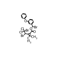 CC1(C)C(C(=O)OC(Br)c2cccc(Oc3ccccc3)c2)C1C(Br)C(Cl)(Cl)Br